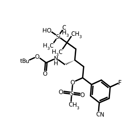 CC(C)(C)OC(=O)NC[C@@H](CC(OS(C)(=O)=O)c1cc(F)cc(C#N)c1)CC(C)(C)[Si](C)(C)O